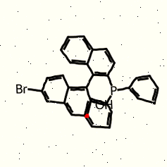 Oc1ccc2cc(Br)ccc2c1-c1c(P(c2ccccc2)c2ccccc2)ccc2ccccc12